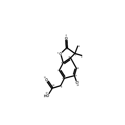 CC1(C)C(=O)Oc2cc(CC(=O)O)c(Cl)cc21